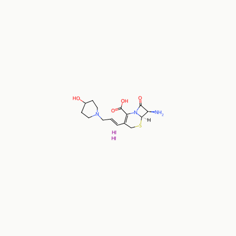 I.I.N[C@@H]1C(=O)N2C(C(=O)O)=C(C=CCN3CCC(O)CC3)CS[C@H]12